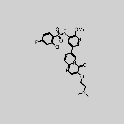 COc1ncc(-c2ccc3ncc(OCCN(C)C)c(=O)n3c2)cc1NS(=O)(=O)c1ccc(F)cc1Cl